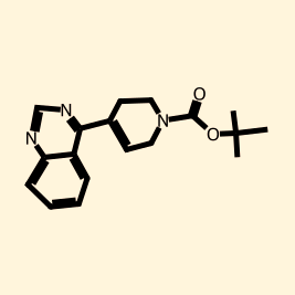 CC(C)(C)OC(=O)N1CC=C(c2ncnc3ccccc23)CC1